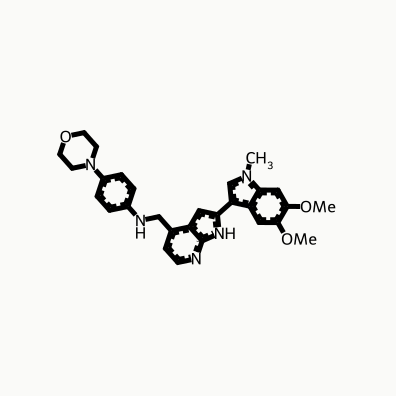 COc1cc2c(-c3cc4c(CNc5ccc(N6CCOCC6)cc5)ccnc4[nH]3)cn(C)c2cc1OC